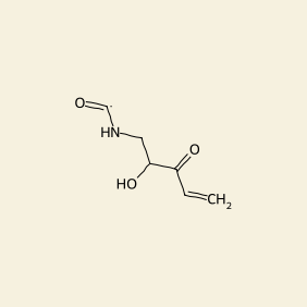 C=CC(=O)C(O)CN[C]=O